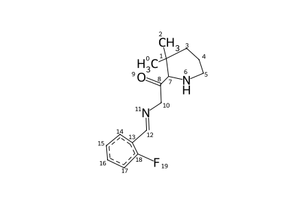 CC1(C)CCCNC1C(=O)C/N=C/c1ccccc1F